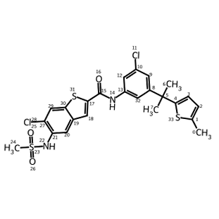 Cc1ccc(C(C)(C)c2cc(Cl)cc(NC(=O)c3cc4cc(NS(C)(=O)=O)c(Cl)cc4s3)c2)s1